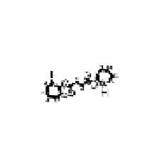 O=C(CCC(=O)OC1=CC=CC=CN1)OC1=CC=CC=CN1